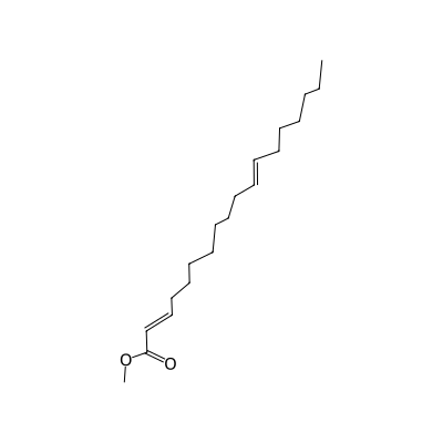 CCCCCCC=CCCCCCCCC=CC(=O)OC